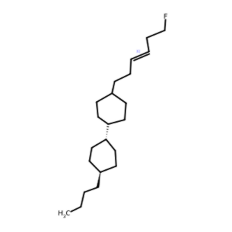 CCCC[C@H]1CC[C@H](C2CCC(CC/C=C/CCF)CC2)CC1